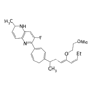 CC/C=C\C(=CCC(C)C1=CC=C(c2nc3c(cc2F)NC(C)C=C3)C=CC1)OCCOC